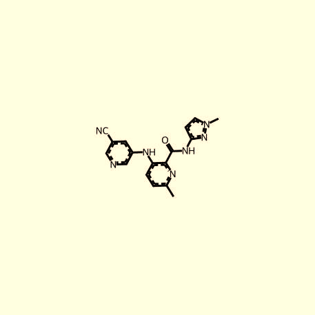 Cc1ccc(Nc2cncc(C#N)c2)c(C(=O)Nc2ccn(C)n2)n1